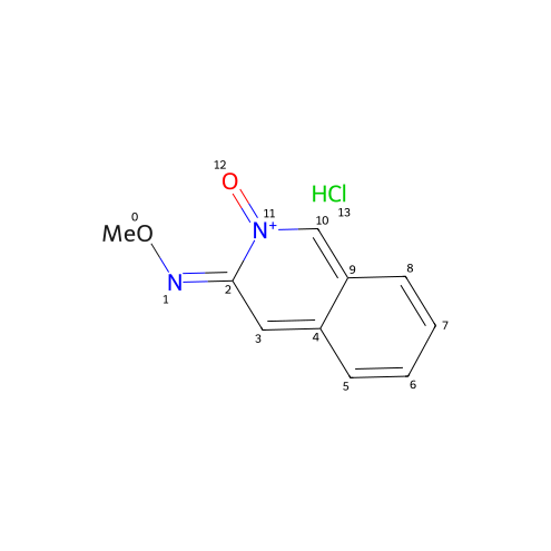 CON=C1C=c2ccccc2=C[N+]1=O.Cl